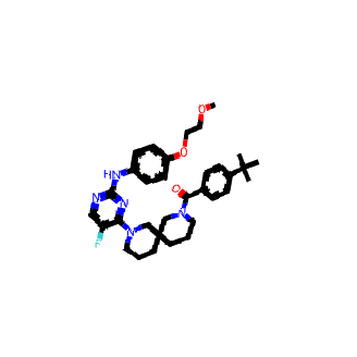 COCCOc1ccc(Nc2ncc(F)c(N3CCCC4(CCCN(C(=O)c5ccc(C(C)(C)C)cc5)C4)C3)n2)cc1